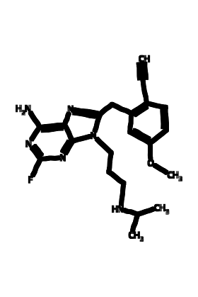 C#Cc1ccc(OC)cc1Cc1nc2c(N)nc(F)nc2n1CCCNC(C)C